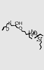 C=CC(=O)CN(C)CC(O)COCCCC(C)(CC)[Si](C)(C)OC(C)(CC)[Si](C)(C)CCCC